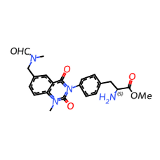 COC(=O)[C@@H](N)Cc1ccc(-n2c(=O)c3cc(CN(C)C=O)ccc3n(C)c2=O)cc1